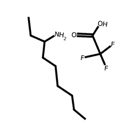 CCCCCCC(N)CC.O=C(O)C(F)(F)F